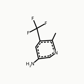 Cc1ncc(N)cc1C(F)(F)F